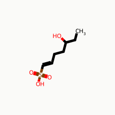 CCC(O)CCC=CS(=O)(=O)O